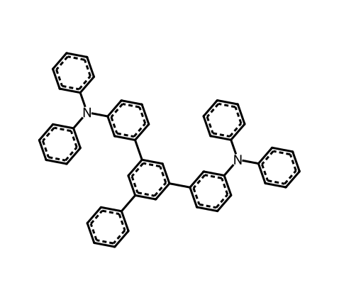 c1ccc(-c2cc(-c3cccc(N(c4ccccc4)c4ccccc4)c3)cc(-c3cccc(N(c4ccccc4)c4ccccc4)c3)c2)cc1